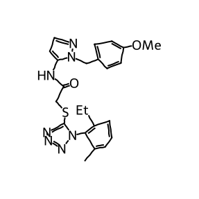 CCc1cccc(C)c1-n1nnnc1SCC(=O)Nc1ccnn1Cc1ccc(OC)cc1